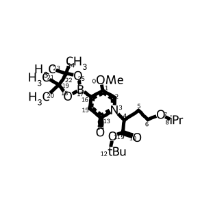 COc1cn(C(CCOC(C)C)C(=O)OC(C)(C)C)c(=O)cc1B1OC(C)(C)C(C)(C)O1